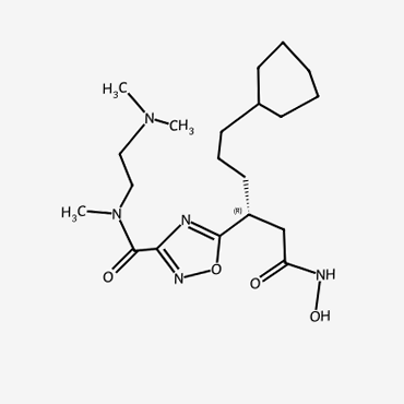 CN(C)CCN(C)C(=O)c1noc([C@H](CCCC2CCCCC2)CC(=O)NO)n1